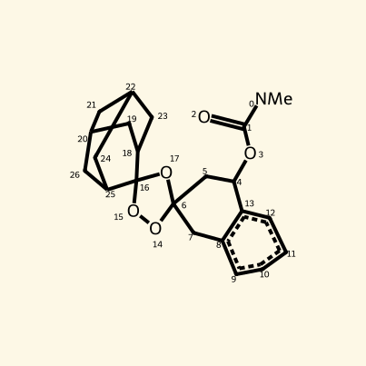 CNC(=O)OC1CC2(Cc3ccccc31)OOC1(O2)C2CC3CC(C2)CC1C3